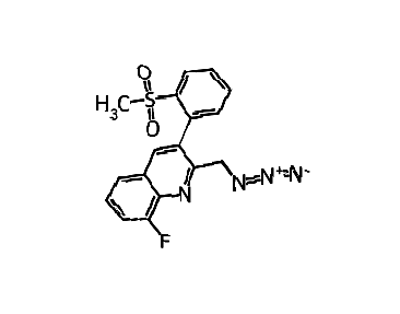 CS(=O)(=O)c1ccccc1-c1cc2cccc(F)c2nc1CN=[N+]=[N-]